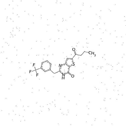 CCCC(=O)c1cc2nc(Cc3cccc(C(F)(F)F)c3)[nH]c(=O)c2s1